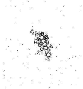 CCCCOc1cc(CN2CCC(C)(C)CC2)c(C#N)c2c1C(=O)C1=C(O)[C@]3(O)C(=O)c4c(OCCCC)noc4[C@@H](N(C)C)[C@@H]3C[C@@H]1C2